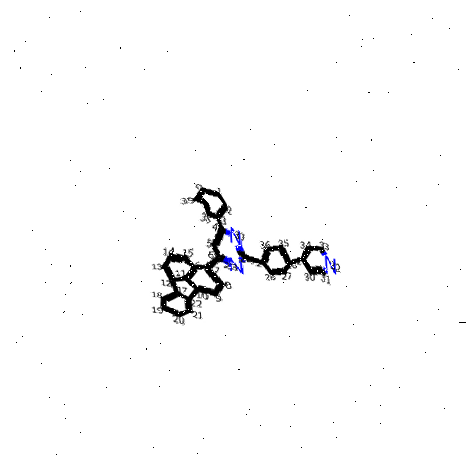 c1ccc(-c2cc(-c3ccc4c5c(cccc35)-c3ccccc3-4)nc(-c3ccc(-c4ccncc4)cc3)n2)cc1